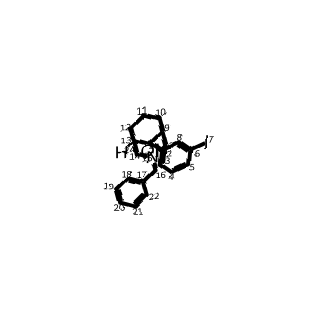 O[C@]1(c2cccc(I)c2)C2CCC[C@H]1CN(Cc1ccccc1)C2